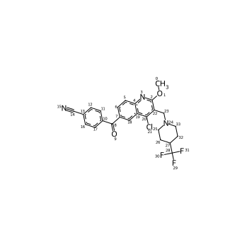 COc1nc2ccc(C(=O)c3ccc(C#N)cc3)cc2c(Cl)c1CN1CCC(C(F)(F)F)CC1